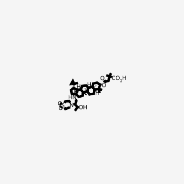 CC(O)C(CN[C@]12CC[C@@H](C3(C)CC3)[C@@H]1[C@H]1CC[C@@H]3[C@@]4(C)CC[C@H](OC(=O)CC(C)(C)C(=O)O)C(C)(C)[C@@H]4CC[C@@]3(C)[C@]1(C)CC2)N1CCS(=O)(=O)CC1